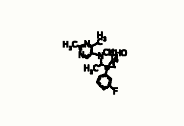 Cc1ncc(N(C)C(C)[C@@]2(c3cccc(F)c3)C[C@H]2C=O)c(C)n1